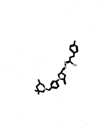 C=C1CC(/C=N/N=C(\S)CCc2ccc(C)cc2)CN1c1ccc(CN2CC(C)CC(C)(C)C2)cc1